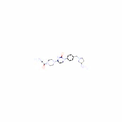 CC(C)(N)C(=O)N1CCN(c2ccn(-c3ccc(CN4CCC(N)C4)cc3)c(=O)n2)CC1